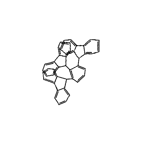 c1ccc2c(c1)-c1ccccc1C2c1cccc(C2c3ccccc3-c3ccccc32)c1C1c2ccccc2-c2ccccc21